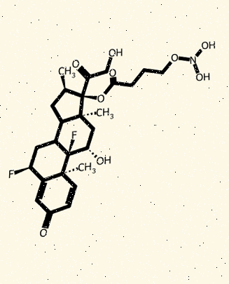 C[C@@H]1CC2C3C[C@H](F)C4=CC(=O)C=C[C@]4(C)[C@@]3(F)[C@@H](O)C[C@]2(C)[C@@]1(OC(=O)CCCON(O)O)C(=O)CO